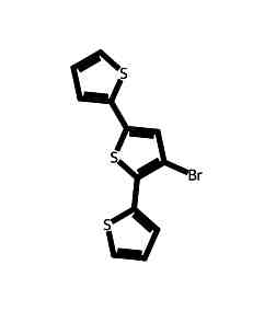 Brc1cc(-c2cccs2)sc1-c1cccs1